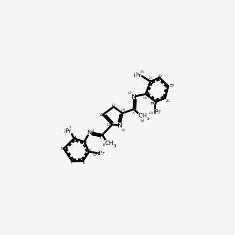 C/C(=N\c1c(C(C)C)cccc1C(C)C)C1=CCC(/C(C)=N/c2c(C(C)C)cccc2C(C)C)=N1